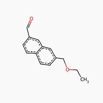 CCOCc1ccc2ccc(C=O)cc2c1